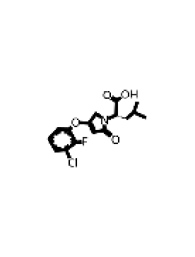 CC(C)C[C@@H](C(=O)O)N1CC(Oc2cccc(Cl)c2F)=CC1=O